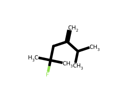 C=C(CC(C)(C)F)C(C)C